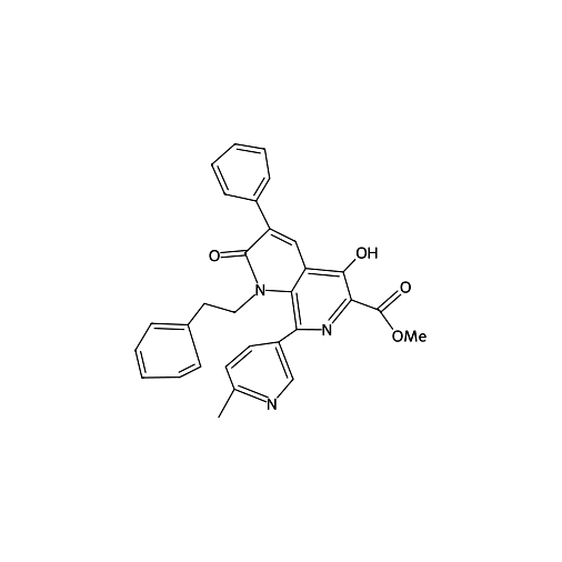 COC(=O)c1nc(-c2ccc(C)nc2)c2c(cc(-c3ccccc3)c(=O)n2CCc2ccccc2)c1O